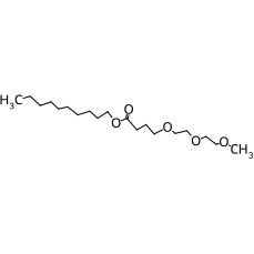 CCCCCCCCCCOC(=O)CCCOCCOCCOC